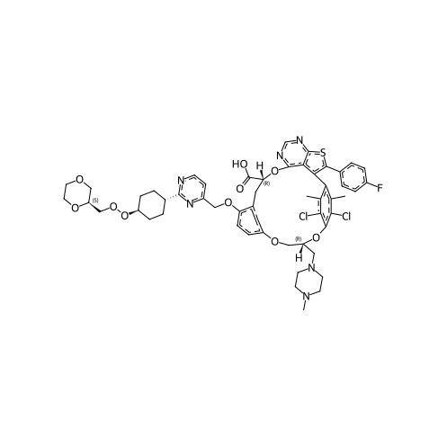 Cc1c(Cl)c2c(Cl)c(C)c1-c1c(-c3ccc(F)cc3)sc3ncnc(c13)O[C@@H](C(=O)O)Cc1cc(ccc1OCc1ccnc([C@H]3CC[C@H](OOC[C@@H]4COCCO4)CC3)n1)OC[C@@H](CN1CCN(C)CC1)O2